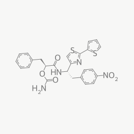 NC(=O)O[C@@H](Cc1ccccc1)C(=O)N[C@@H](Cc1ccc([N+](=O)[O-])cc1)c1csc(-c2cccs2)n1